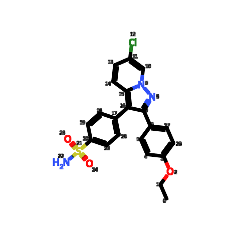 CCOc1ccc(-c2nn3cc(Cl)ccc3c2-c2ccc(S(N)(=O)=O)cc2)cc1